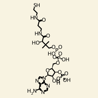 CC(C)(COP(=O)(O)OP(=O)(O)OC[C@@H]1O[C@H](n2cnc3c(N)ncnc32)[C@H](O)[C@@H]1OP(=O)(O)O)[C@@H](O)C(=O)NCCC(=O)NCCS